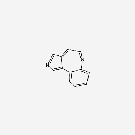 c1ccc2c3cncc-3ccnc2c1